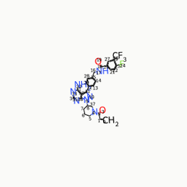 C=CC(=O)N1CCCC(n2nc(-c3ccc(CNC(=O)c4ccc(F)c(C(F)(F)F)c4)cc3)c3c(N)ncnc32)C1